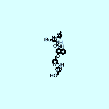 Cc1ccc(-n2nc(C(C)(C)C)cc2NC(=O)Nc2ccc(OCc3ccnc(Nc4cnc(CO)cn4)c3)c3ccccc23)s1